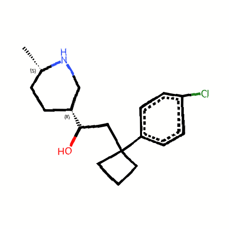 C[C@H]1CC[C@@H](C(O)CC2(c3ccc(Cl)cc3)CCC2)CN1